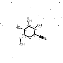 N#CC1O[C@H](CO)[C@H](O)[C@H](O)[C@H]1O